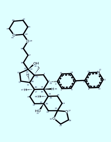 C[C@]12C[C@H](c3ccc(-c4cccnc4)cc3)[C@H]3[C@@H](CC[C@@]4(O)CC5(CC[C@H]34)OCCO5)[C@H]1CC[C@]2(O)CCCOC1CCCCO1